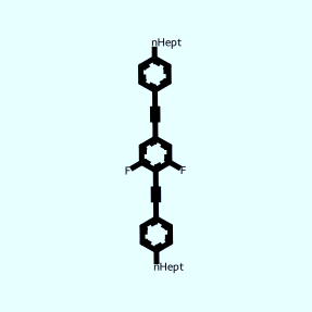 CCCCCCCc1ccc(C#Cc2cc(F)c(C#Cc3ccc(CCCCCCC)cc3)c(F)c2)cc1